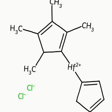 CC1=C(C)C(C)[C]([Hf+2][C]2=CC=CC2)=C1C.[Cl-].[Cl-]